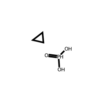 C1CC1.O=[PH](O)O